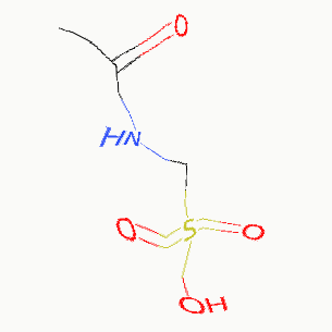 CC(=O)NCS(=O)(=O)O